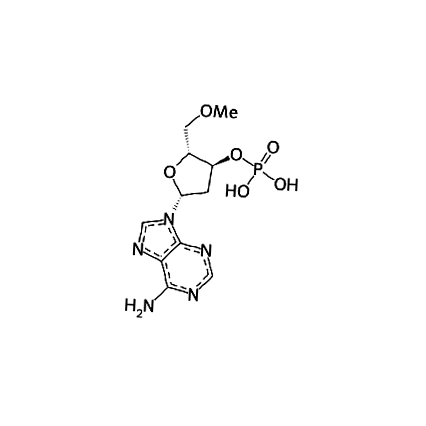 COC[C@H]1O[C@@H](n2cnc3c(N)ncnc32)C[C@@H]1OP(=O)(O)O